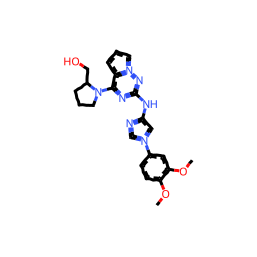 COc1ccc(-n2cnc(Nc3nc(N4CCCC4CO)c4cccn4n3)c2)cc1OC